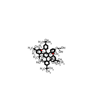 CC(C)(C)c1ccc(-c2c(OP(O)O)c(-c3ccc(C(C)(C)C)cc3C(C)(C)C)c(-c3ccc(C(C)(C)C)cc3C(C)(C)C)c(-c3ccc(OP(O)O)cc3)c2-c2ccc(C(C)(C)C)cc2C(C)(C)C)c(C(C)(C)C)c1